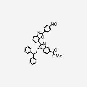 COC(=O)c1ccc2c(c1)nc(-c1cccc3nc(-c4ccc(N=O)cc4)oc13)n2CCC(c1ccccc1)c1ccccc1